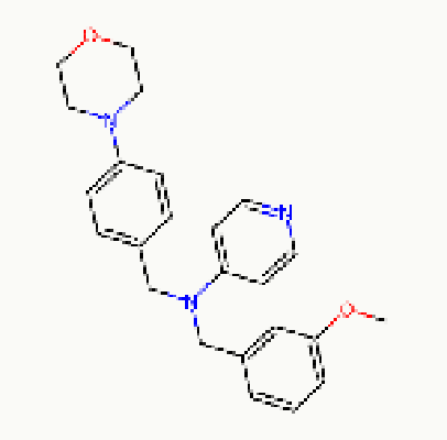 COc1cccc(CN(Cc2ccc(N3CCOCC3)cc2)c2ccncc2)c1